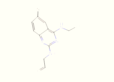 C=CCNc1nc(NCC(C)(C)C)c2cc([N+](=O)[O-])ccc2n1